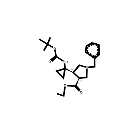 CCOC(=O)[C@@H]1CN(Cc2ccccc2)C[C@@H]1C1(NC(=O)OC(C)(C)C)CC1